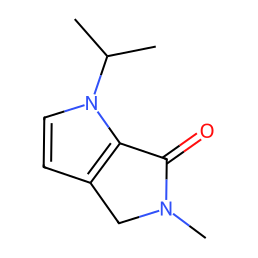 CC(C)n1ccc2c1C(=O)N(C)C2